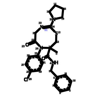 CC1(C(=O)NCc2ccccc2)CS/C(N2CCCC2)=N\CC(=O)N1c1ccc(Cl)cc1